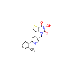 O=c1c2c(n(Cc3ccc(-c4ccccc4C(F)(F)F)nc3)c(=O)n1O)CCS2